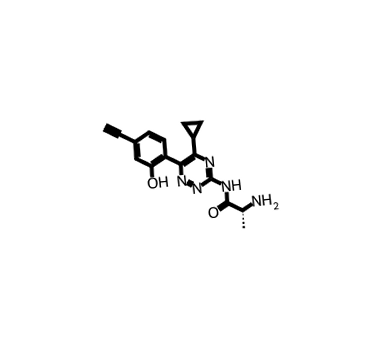 C#Cc1ccc(-c2nnc(NC(=O)[C@@H](C)N)nc2C2CC2)c(O)c1